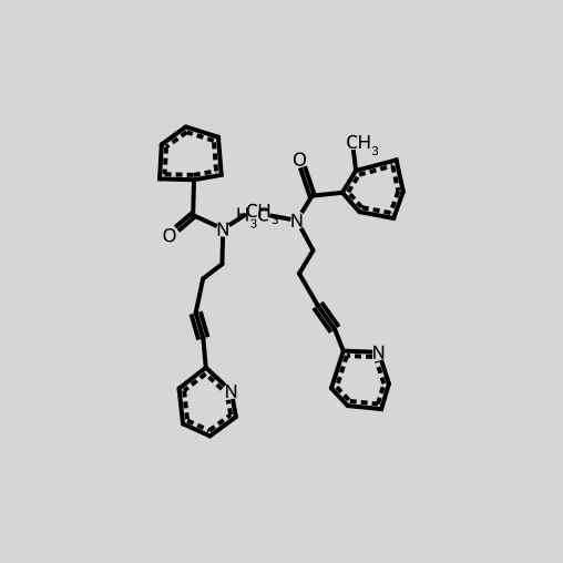 CN(CCC#Cc1ccccn1)C(=O)c1ccccc1.Cc1ccccc1C(=O)N(C)CCC#Cc1ccccn1